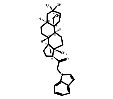 CC[C@]12CC[C@@](C)(O)C[C@@H]1CC[C@H]1[C@@H]3CC[C@H](C(=O)Cn4ccc5ccccc54)[C@@]3(C)CC[C@@H]12